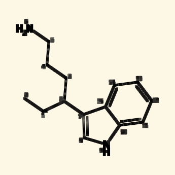 C[CH]C(CCCN)c1c[nH]c2ccccc12